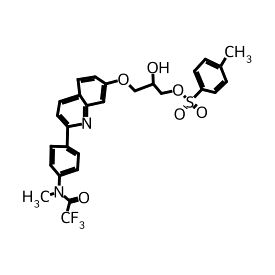 Cc1ccc(S(=O)(=O)OCC(O)COc2ccc3ccc(-c4ccc(N(C)C(=O)C(F)(F)F)cc4)nc3c2)cc1